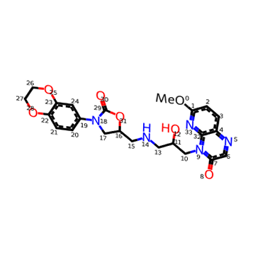 COc1ccc2ncc(=O)n(CC(O)CNCC3CN(c4ccc5c(c4)OCCO5)C(=O)O3)c2n1